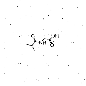 CC(C)C(=O)NCC(=O)O